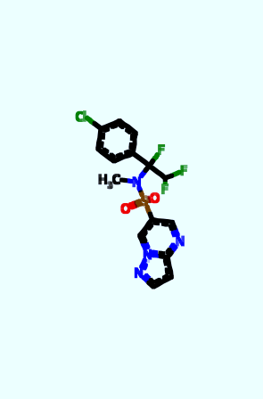 CN(C(F)(c1ccc(Cl)cc1)C(F)F)S(=O)(=O)c1cnc2ccnn2c1